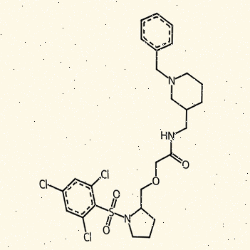 O=C(COCC1CCCN1S(=O)(=O)c1c(Cl)cc(Cl)cc1Cl)NCC1CCCN(Cc2ccccc2)C1